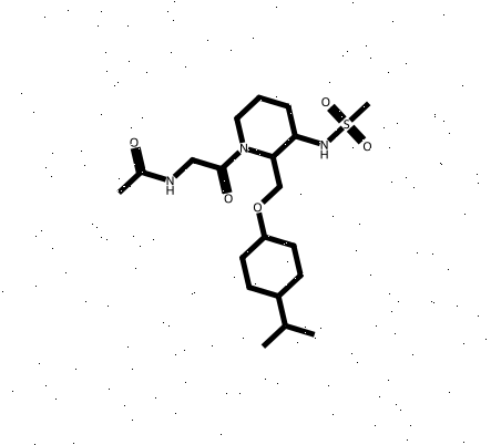 CC(=O)NCC(=O)N1CCCC(NS(C)(=O)=O)C1COC1CCC(C(C)C)CC1